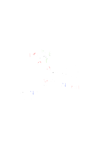 COc1cc2c3c(c(O)nc2cc1OCCCN1CCCC1)CCCC3.O=C(O)C(F)(F)F